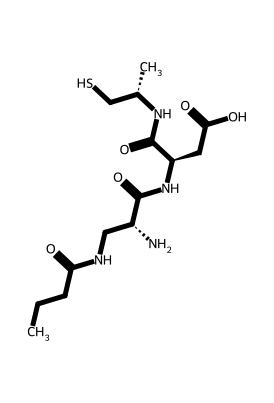 CCCC(=O)NC[C@@H](N)C(=O)N[C@H](CC(=O)O)C(=O)N[C@@H](C)CS